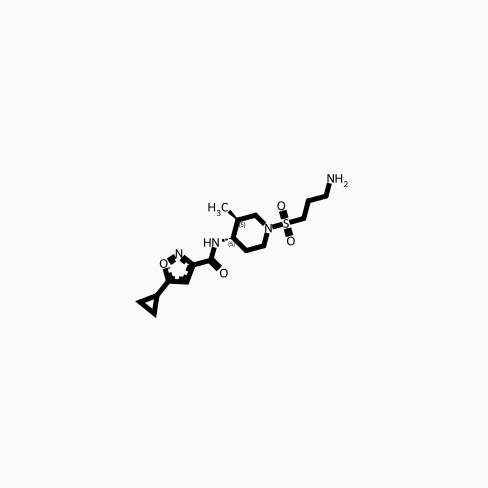 C[C@H]1CN(S(=O)(=O)CCCN)CC[C@@H]1NC(=O)c1cc(C2CC2)on1